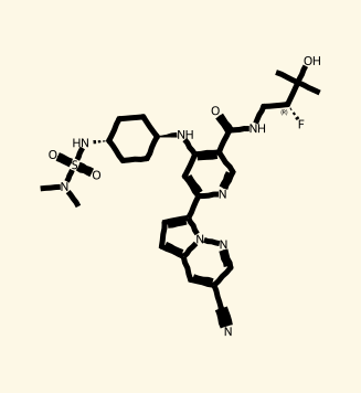 CN(C)S(=O)(=O)N[C@H]1CC[C@H](Nc2cc(-c3ccc4cc(C#N)cnn34)ncc2C(=O)NC[C@@H](F)C(C)(C)O)CC1